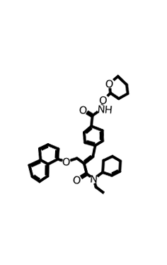 CCN(C(=O)/C(=C/c1ccc(C(=O)NOC2CCCCO2)cc1)COc1cccc2ccccc12)C1C=CCCC1